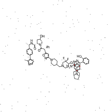 Cc1ncsc1-c1ccc([C@H](C)NC(=O)[C@@H]2C[C@@H](O)CN2C(=O)[C@@H](c2cc(N3CCC(CN4CC[C@H](Oc5cc(N6C7CCC6CN(c6cc(-c8ccccc8O)nnc6N)C7)ccn5)C(F)(F)C4)CC3)no2)C(C)C)cc1